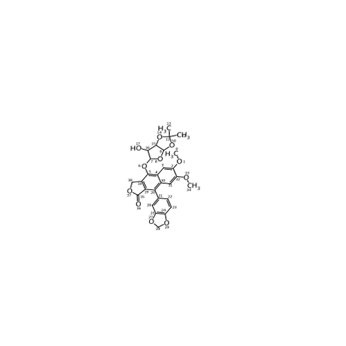 COc1cc2c(OC3OC4OC(C)(C)OC4C3O)c3c(c(-c4ccc5c(c4)OCO5)c2cc1OC)C(=O)OC3